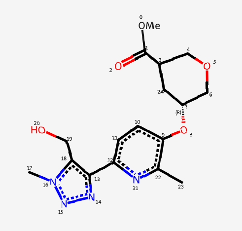 COC(=O)C1COC[C@H](Oc2ccc(-c3nnn(C)c3CO)nc2C)C1